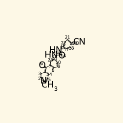 CN1CCC(C(=O)c2cccc(NC(=O)Nc3ccc(C#N)cc3)c2)CC1